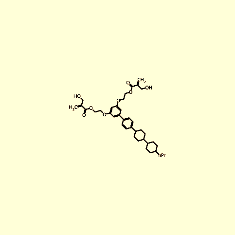 C=C(CO)C(=O)OCCOc1cc(OCCOC(=O)C(=C)CO)cc(-c2ccc(C3CCC(C4CCC(CCC)CC4)CC3)cc2)c1